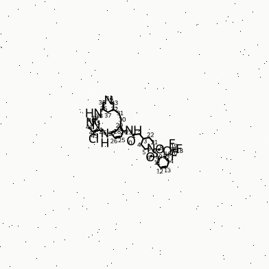 O=C(CC1CCN(S(=O)(=O)c2ccccc2OC(F)(F)F)CC1)Nc1ccc2cc1CCC1C=NC=C(C1)Nc1ncc(Cl)c(n1)N2